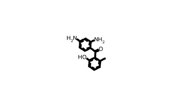 Cc1cccc(O)c1C(=O)c1ccc(N)cc1N